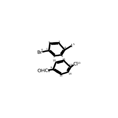 Brc1ccc(I)cc1.O=Cc1ccc(Cl)cc1